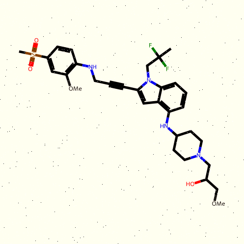 COCC(O)CN1CCC(Nc2cccc3c2cc(C#CCNc2ccc(S(C)(=O)=O)cc2OC)n3CC(C)(F)F)CC1